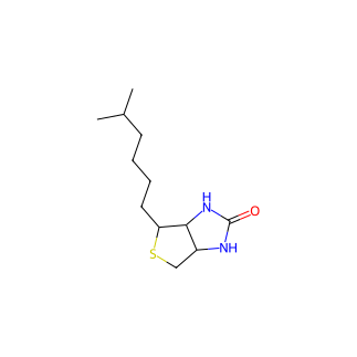 CC(C)CCCCC1SCC2NC(=O)NC21